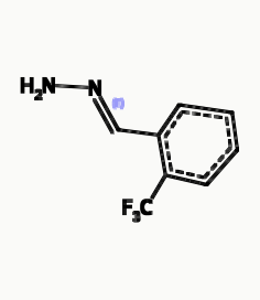 N/N=C/c1ccccc1C(F)(F)F